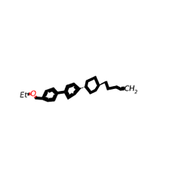 C=CCCC[C@H]1CC[C@H](c2ccc(-c3ccc(COCC)cc3)cc2)CC1